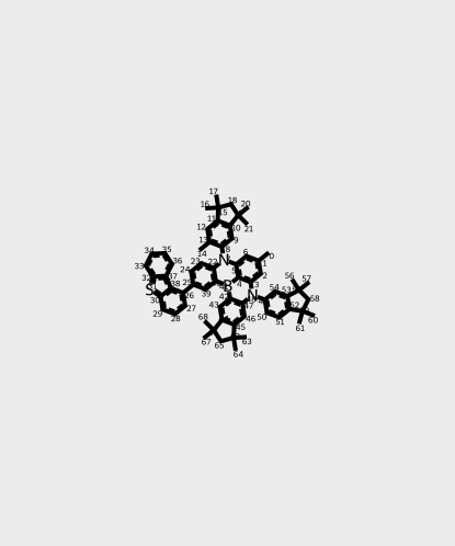 Cc1cc2c3c(c1)N(c1cc4c(cc1C)C(C)(C)CC4(C)C)c1ccc(-c4cccc5sc6ccccc6c45)cc1B3c1cc3c(cc1N2c1ccc2c(c1)C(C)(C)CC2(C)C)C(C)(C)CC3(C)C